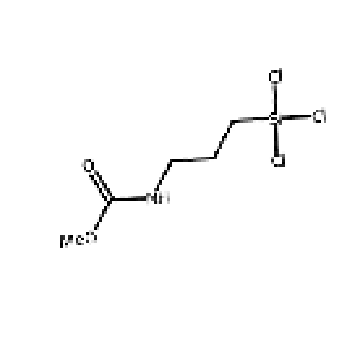 COC(=O)NCCC[Si](Cl)(Cl)Cl